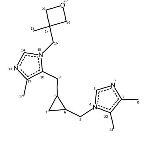 Cc1ncn(CC2CC2Cc2c(C)ncn2CC2(C)COC2)c1C